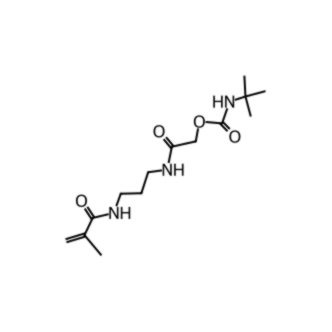 C=C(C)C(=O)NCCCNC(=O)COC(=O)NC(C)(C)C